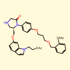 COc1ccccc1COCCCOc1ccc(N2C(=O)CNC[C@@H]2COc2ccc3ccn(CCOC(C)=O)c3c2)cc1